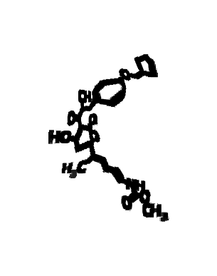 COC(=O)N/C=C/CCC(C)c1cc(O)c(C(=O)C(C)Cc2ccc(OCC3CCCC3)cc2)c(=O)o1